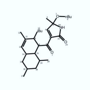 CCCCOC1(C)C=C(C(=O)C2C(C(C)CC)C(C)=CC3CC(C)CC(C)C32)C(=O)N1